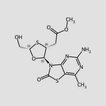 COC(=O)C[C@H]1S[C@@H](CO)O[C@@H]1n1c(=O)sc2c(C)nc(N)nc21